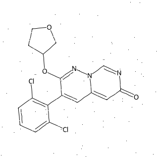 O=c1cc2cc(-c3c(Cl)cccc3Cl)c(OC3CCOC3)nn2cn1